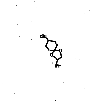 C[C](C)C1COC2(CCC(C(C)(C)C)CC2)O1